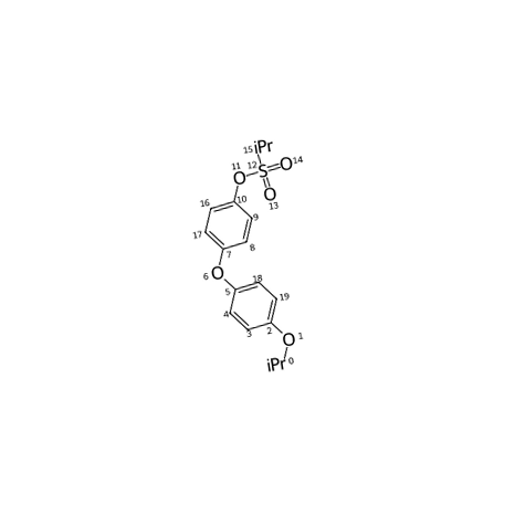 CC(C)Oc1ccc(Oc2ccc(OS(=O)(=O)C(C)C)cc2)cc1